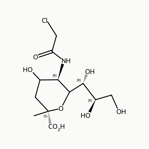 C[C@@]1(C(=O)O)CC(O)[C@@H](NC(=O)CCl)C([C@H](O)[C@H](O)CO)O1